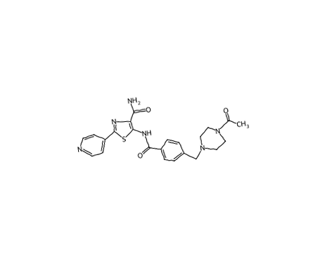 CC(=O)N1CCN(Cc2ccc(C(=O)Nc3sc(-c4ccncc4)nc3C(N)=O)cc2)CC1